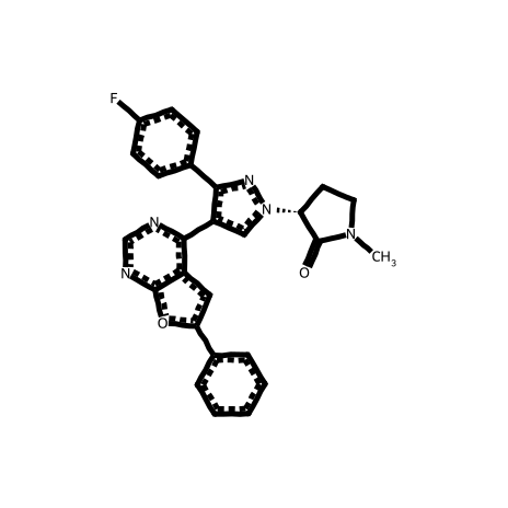 CN1CC[C@@H](n2cc(-c3ncnc4oc(-c5ccccc5)cc34)c(-c3ccc(F)cc3)n2)C1=O